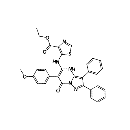 CCOC(=O)c1ncsc1Nc1[nH]c2c(-c3ccccc3)c(-c3ccccc3)nn2c(=O)c1-c1ccc(OC)cc1